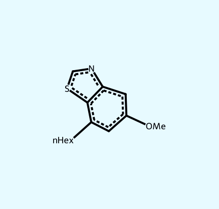 [CH2]Oc1cc(CCCCCC)c2scnc2c1